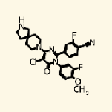 COc1ccc(-n2c(-c3ccc(C#N)c(F)c3)nc(N3CCC4(CCNC4)CC3)c(Cl)c2=O)cc1F